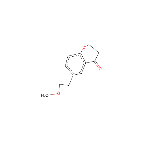 COCCc1ccc2c(c1)C(=O)CCO2